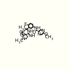 COc1cnc(C(=O)Nc2ccc(F)c([C@]3(C)CS(=O)(=O)C4(CCN(C)C4)C(=N)N3)c2)cn1